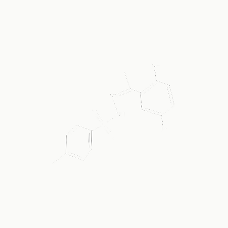 CC(=NNS(=O)(=O)c1ccc(C)cc1)c1cc(Br)ccc1N